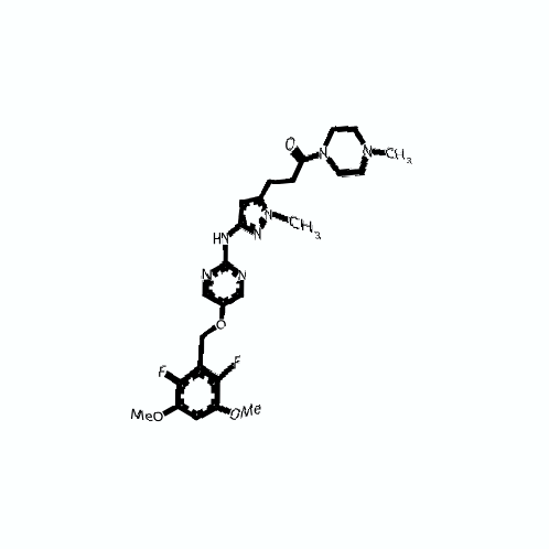 COc1cc(OC)c(F)c(COc2cnc(Nc3cc(CCC(=O)N4CCN(C)CC4)n(C)n3)nc2)c1F